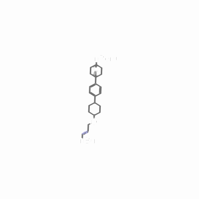 CCCC/C=C/COC1CCC(c2ccc(C34CCC(CCCCC)(CC3)CC4)cc2)CC1